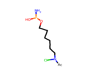 CC(=O)N(Cl)CCCCCCOP(N)O